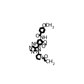 C=CC(=O)N1CCC[C@@H](n2nc(-c3ccc(NC(=O)c4ccc(OC)cc4)c4c3OCO4)c3c(N)ncnc32)C1